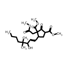 CCCCC(C)(C)C(O)/C=C/C1CC(C(=O)OC)C(=O)C1(CC(=O)OC)C(=O)OC